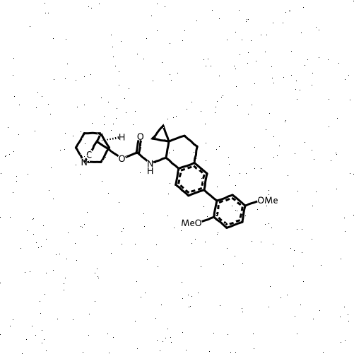 COc1ccc(OC)c(-c2ccc3c(c2)CCC2(CC2)C3NC(=O)O[C@H]2CN3CCC2CC3)c1